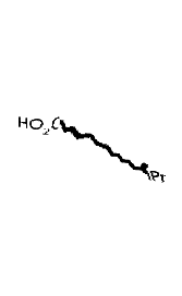 C=C(CCCCCCCCCCCCC(=O)O)C(C)C